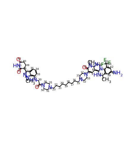 CC(Nc1ncnc2c1cc(N1CCN(CCCCCCCCCN3CCN(C(=O)CNc4cccc5c(C6CCC(=O)NC6=O)nn(C)c45)CC3)CC1)c(=O)n2C)c1cc(N)cc(C(F)(F)F)c1